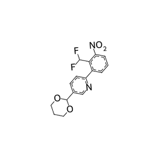 O=[N+]([O-])c1cccc(-c2ccc(C3OCCCO3)cn2)c1C(F)F